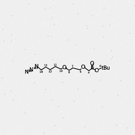 CC(C)(C)OC(=O)COCCCOCCCCCN=[N+]=[N-]